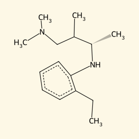 CCc1ccccc1N[C@@H](C)C(C)CN(C)C